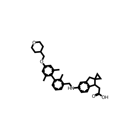 Cc1cc(OCC2CCOCC2)cc(C)c1-c1cccc(CNc2ccc3c(c2)CC2(CC2)C3CC(=O)O)c1C